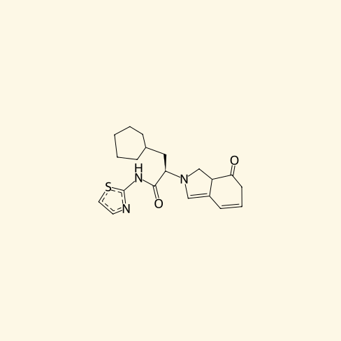 O=C1CC=CC2=CN([C@H](CC3CCCCC3)C(=O)Nc3nccs3)CC12